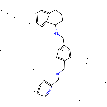 c1ccc(CNCc2ccc(CNC3CCCc4ccccc43)cc2)nc1